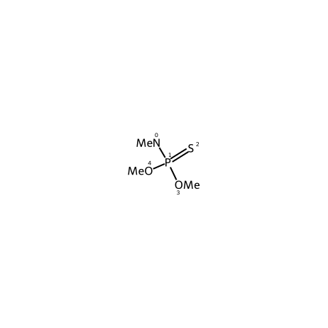 CNP(=S)(OC)OC